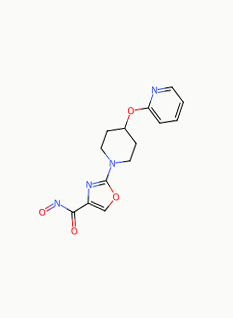 O=NC(=O)c1coc(N2CCC(Oc3ccccn3)CC2)n1